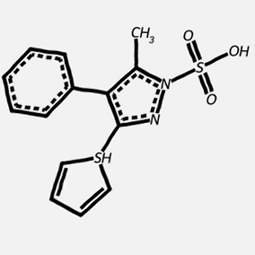 Cc1c(-c2ccccc2)c([SH]2C=CC=C2)nn1S(=O)(=O)O